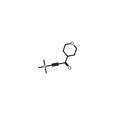 C[Si](C)(C)C#CC(=O)C1CCOCC1